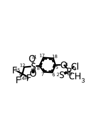 CP(=S)(Cl)Oc1ccc(S(=O)(=O)CC(F)(F)F)cc1